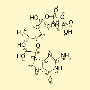 C[C@H](O)[C@@H](COP(=O)(O)OP(=O)(O)OP(=O)(O)O)O[C@H](CO)n1cnc2c(=O)[nH]c(N)nc21